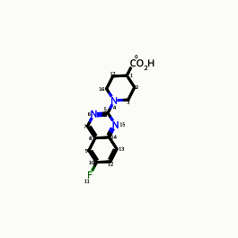 O=C(O)C1CCN(c2ncc3cc(F)ccc3n2)CC1